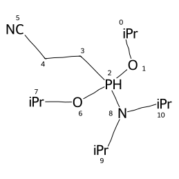 CC(C)O[PH](CCC#N)(OC(C)C)N(C(C)C)C(C)C